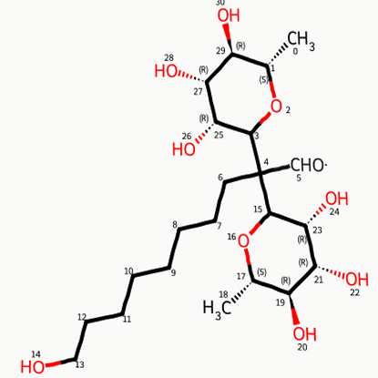 C[C@@H]1OC(C([C]=O)(CCCCCCCCO)C2O[C@@H](C)[C@H](O)[C@@H](O)[C@H]2O)[C@H](O)[C@H](O)[C@H]1O